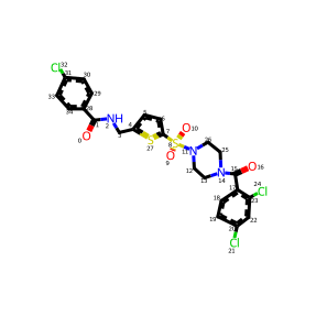 O=C(NCc1ccc(S(=O)(=O)N2CCN(C(=O)c3ccc(Cl)cc3Cl)CC2)s1)c1ccc(Cl)cc1